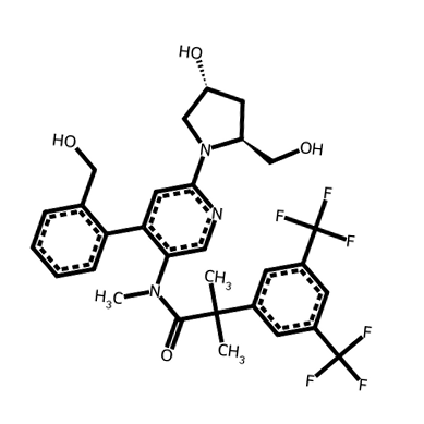 CN(C(=O)C(C)(C)c1cc(C(F)(F)F)cc(C(F)(F)F)c1)c1cnc(N2C[C@H](O)C[C@H]2CO)cc1-c1ccccc1CO